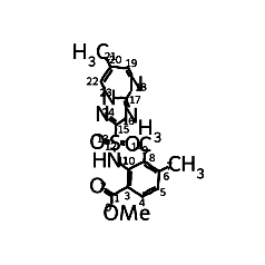 COC(=O)c1ccc(C)c(C)c1NS(=O)(=O)c1nc2ncc(C)cn2n1